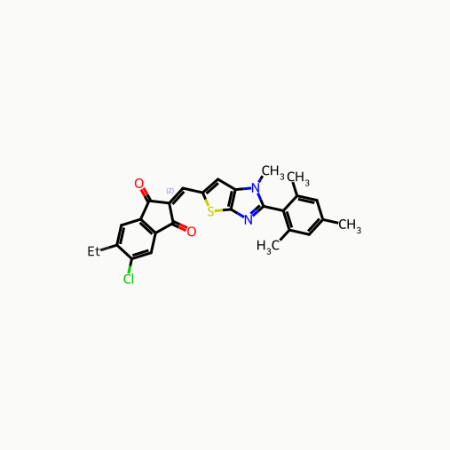 CCc1cc2c(cc1Cl)C(=O)/C(=C\c1cc3c(nc(-c4c(C)cc(C)cc4C)n3C)s1)C2=O